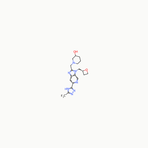 OC1CCCN(Cc2nc3cc(-c4nnc(C(F)(F)F)[nH]4)ncc3n2C[C@@H]2CCO2)C1